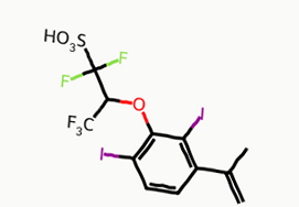 C=C(C)c1ccc(I)c(OC(C(F)(F)F)C(F)(F)S(=O)(=O)O)c1I